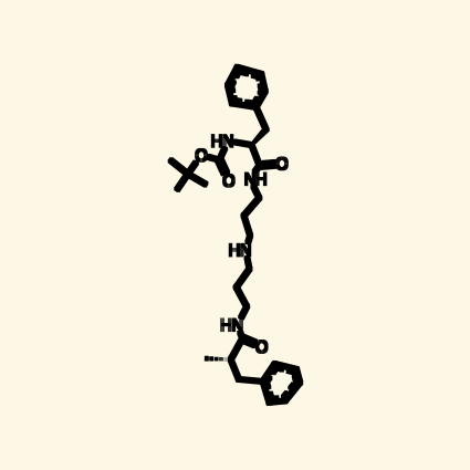 C[C@@H](Cc1ccccc1)C(=O)NCCCNCCCNC(=O)[C@H](Cc1ccccc1)NC(=O)OC(C)(C)C